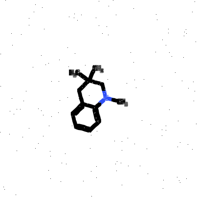 CN1CC(C)(C)Cc2ccccc21